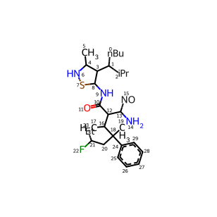 CCCCC(C(C)C)C1C(C)NSC1NC(=O)C(C(N)N=O)C(C)C(C)(CC(F)CC)c1ccccc1